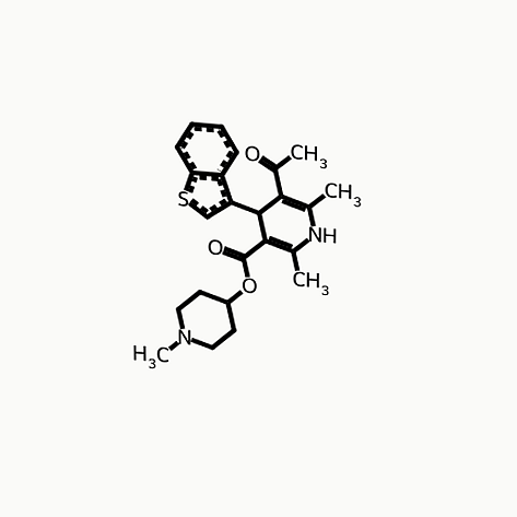 CC(=O)C1=C(C)NC(C)=C(C(=O)OC2CCN(C)CC2)C1c1csc2ccccc12